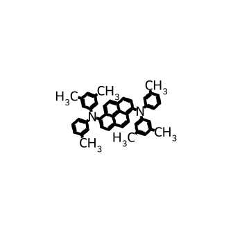 Cc1cccc(N(c2cc(C)cc(C)c2)c2ccc3ccc4c(N(c5cccc(C)c5)c5cc(C)cc(C)c5)ccc5ccc2c3c54)c1